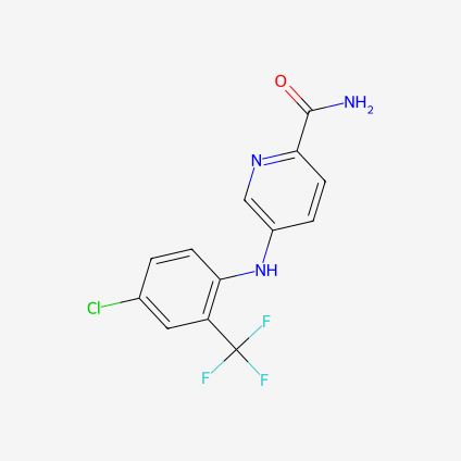 NC(=O)c1ccc(Nc2ccc(Cl)cc2C(F)(F)F)cn1